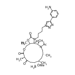 B[C@@H]1CC(=O)[C@@H](C)C(=O)O[C@H](CC)[C@@]2(C)OC(=O)N(CCCCn3cc(-c4cccc(N)c4)nn3)[C@@H]2[C@@H](C)N(C(C)=O)C[C@H](C)C[C@]1(C)OC